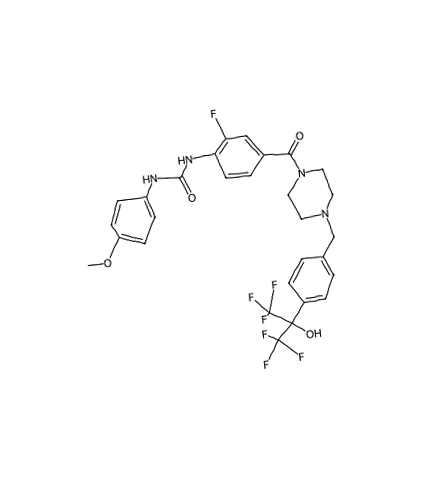 COc1ccc(NC(=O)Nc2ccc(C(=O)N3CCN(Cc4ccc(C(O)(C(F)(F)F)C(F)(F)F)cc4)CC3)cc2F)cc1